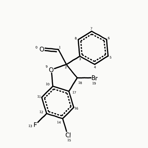 O=CC1(c2ccccc2)Oc2cc(F)c(Cl)cc2C1Br